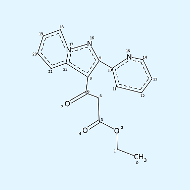 CCOC(=O)CC(=O)c1c(-c2ccccn2)nn2ccccc12